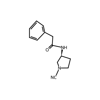 N#CN1CC[C@H](NC(=O)Cc2ccccc2)C1